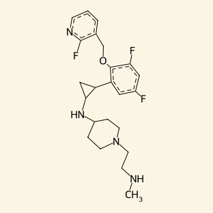 CNCCN1CCC(NC2CC2c2cc(F)cc(F)c2OCc2cccnc2F)CC1